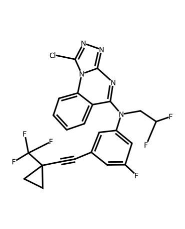 Fc1cc(C#CC2(C(F)(F)F)CC2)cc(N(CC(F)F)c2nc3nnc(Cl)n3c3ccccc23)c1